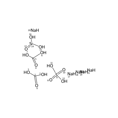 O=C(O)O.O=C(O)O.O=S(=O)(O)O.O=[Si](O)O.[NaH].[NaH].[NaH].[NaH].[NaH]